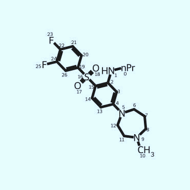 CCCNc1cc(N2CCCN(C)CC2)ccc1S(=O)(=O)c1ccc(F)c(F)c1